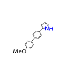 COc1ccc(-c2ccc(-c3ccc[nH]3)cc2)cc1